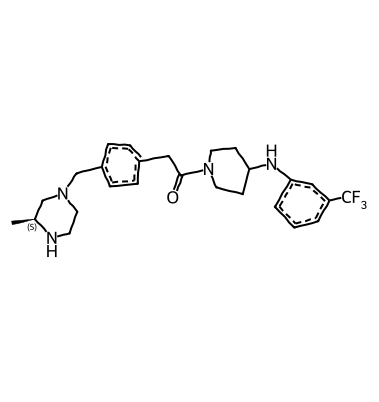 C[C@H]1CN(Cc2ccc(CC(=O)N3CCC(Nc4cccc(C(F)(F)F)c4)CC3)cc2)CCN1